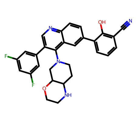 N#Cc1cccc(-c2ccc3ncc(-c4cc(F)cc(F)c4)c(N4CCC5NCCOC5C4)c3c2)c1O